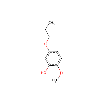 CCCOc1ccc(OC)c(O)c1